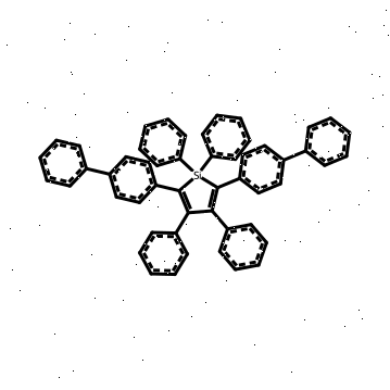 c1ccc(C2=C(c3ccc(-c4ccccc4)cc3)[Si](c3ccccc3)(c3ccccc3)C(c3ccc(-c4ccccc4)cc3)=C2c2ccccc2)cc1